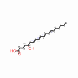 CCCCC/C=C/C/C=C/C=C/C=C/CC(O)CCCC(=O)O